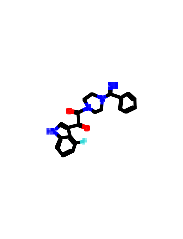 N=C(c1ccccc1)N1CCN(C(=O)C(=O)c2c[nH]c3cccc(F)c23)CC1